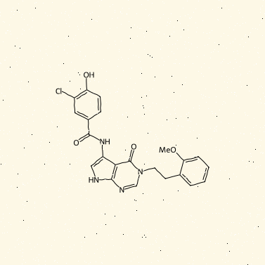 COc1ccccc1CCn1cnc2[nH]cc(NC(=O)c3ccc(O)c(Cl)c3)c2c1=O